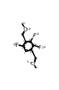 COCc1cc(F)c(COC)c(F)c1F